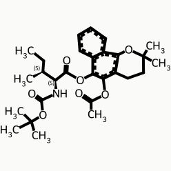 CC[C@H](C)[C@H](NC(=O)OC(C)(C)C)C(=O)Oc1c(OC(C)=O)c2c(c3ccccc13)OC(C)(C)CC2